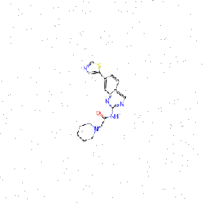 O=C(CN1CCCCC1)Nc1ncc2ccc(-c3cncs3)cc2n1